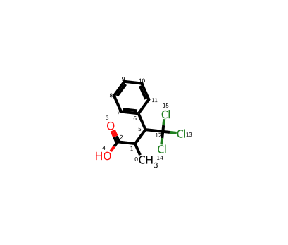 CC(C(=O)O)C(c1ccccc1)C(Cl)(Cl)Cl